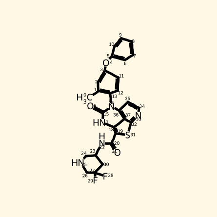 Cc1cc(Oc2ccccc2)ccc1N1C(=O)Nc2c(C(=O)NC3CNCC(F)(F)C3)sc3nccc1c23